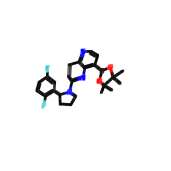 CC1(C)OB(c2ccnc3ccc(N4CCCC4c4cc(F)ccc4F)nc23)OC1(C)C